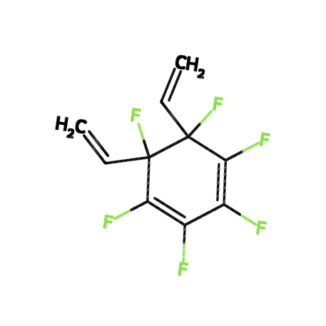 C=CC1(F)C(F)=C(F)C(F)=C(F)C1(F)C=C